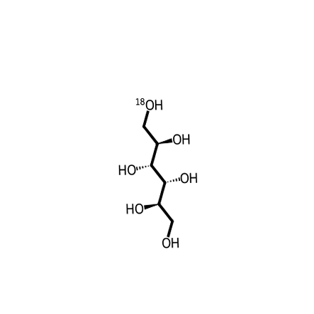 OC[C@@H](O)[C@@H](O)[C@H](O)[C@H](O)C[18OH]